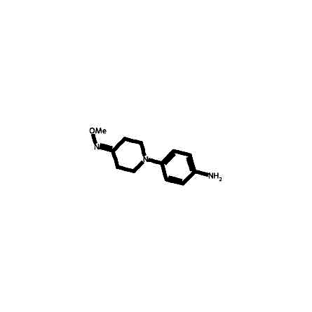 CON=C1CCN(c2ccc(N)cc2)CC1